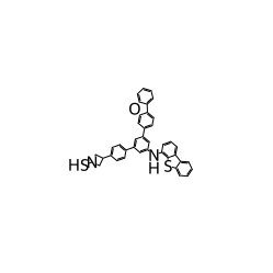 SN1CC(c2ccc(-c3cc(Nc4cccc5c4sc4ccccc45)cc(-c4ccc5c(c4)oc4ccccc45)c3)cc2)C1